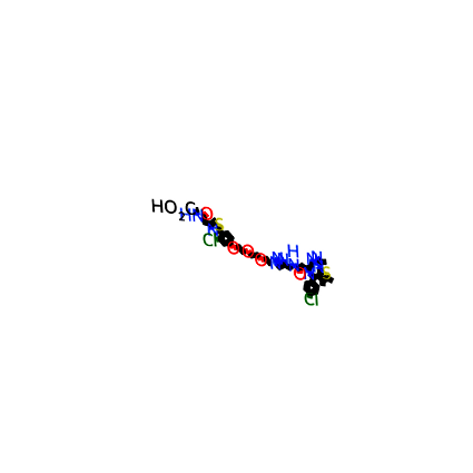 Cc1sc2c(c1C)C(c1ccc(Cl)cc1)=N[C@@H](CC(=O)NCc1cn(CCOCCOCCOc3ccc(-c4nc(CC(=O)NCC(=O)O)cs4)c(Cl)c3)nn1)c1nnc(C)n1-2